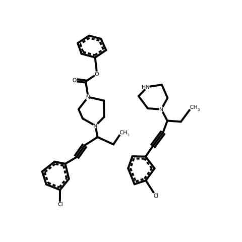 CCC(C#Cc1cccc(Cl)c1)N1CCN(C(=O)Oc2ccccc2)CC1.CCC(C#Cc1cccc(Cl)c1)N1CCNCC1